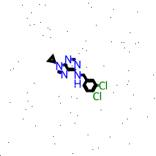 Clc1ccc(CNc2ncnc3c2ncn3C2CC2)cc1Cl